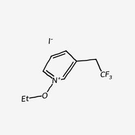 CCO[n+]1cccc(CC(F)(F)F)c1.[I-]